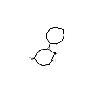 O=C1CCCNNN(C2CCCCCCCC2)CC1